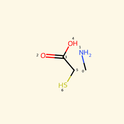 CN.O=C(O)CS